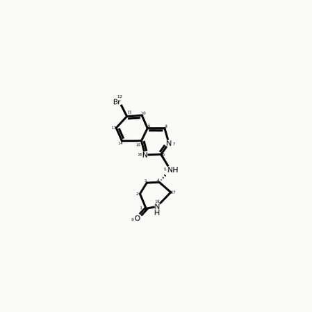 O=C1CC[C@H](Nc2ncc3cc(Br)ccc3n2)CN1